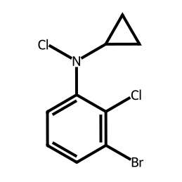 Clc1c(Br)cccc1N(Cl)C1CC1